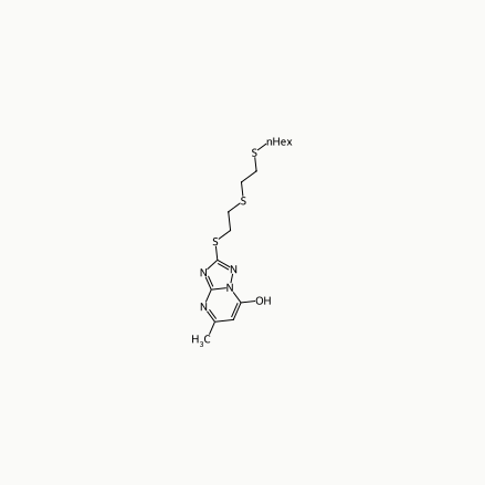 CCCCCCSCCSCCSc1nc2nc(C)cc(O)n2n1